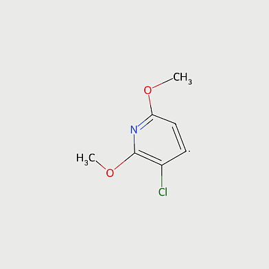 COc1c[c]c(Cl)c(OC)n1